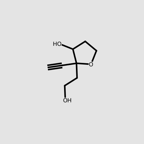 C#CC1(CCO)OCCC1O